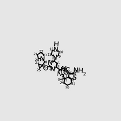 C[C@]1(c2nc(-c3cc(N4CCNCC4)nc(OC4(CN5CCCC5)CC4)n3)no2)CCCc2sc(N)c(C#N)c21